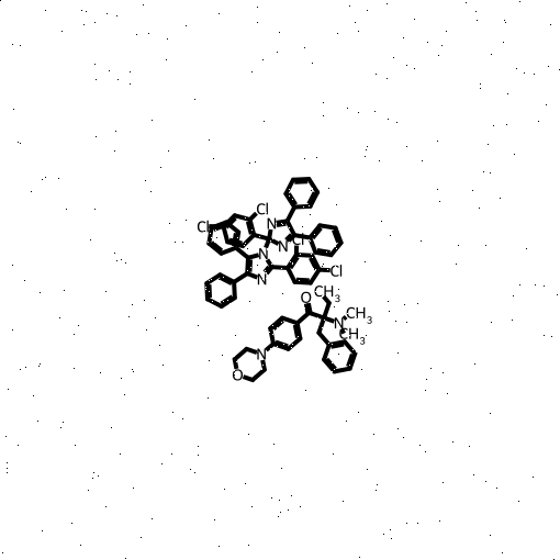 CCC(Cc1ccccc1)(C(=O)c1ccc(N2CCOCC2)cc1)N(C)C.Clc1ccc(-c2nc(-c3ccccc3)c(-c3ccccc3)n2C2(c3ccc(Cl)cc3Cl)N=C(c3ccccc3)C(c3ccccc3)=N2)c(Cl)c1